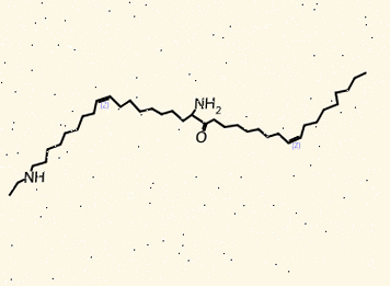 CCCCCCCC/C=C\CCCCCCCC(=O)C(N)CCCCCCC/C=C\CCCCCCCCNCC